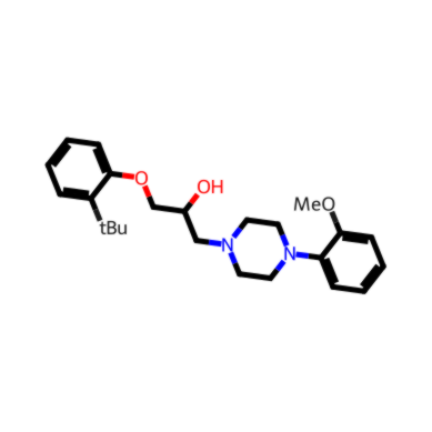 COc1ccccc1N1CCN(CC(O)COc2ccccc2C(C)(C)C)CC1